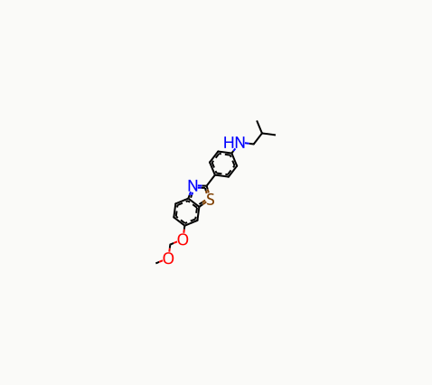 COCOc1ccc2nc(-c3ccc(NCC(C)C)cc3)sc2c1